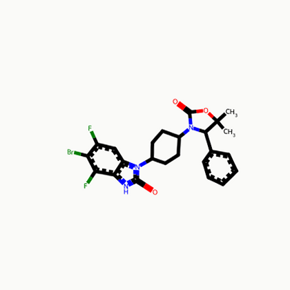 CC1(C)OC(=O)N(C2CCC(n3c(=O)[nH]c4c(F)c(Br)c(F)cc43)CC2)C1c1ccccc1